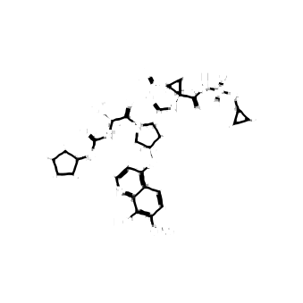 C=C[C@@H]1C[C@]1(NC(=O)[C@@H]1C[C@@H](Oc2ccnc3c(C)c(OC)ccc23)CN1C(=O)[C@@H](NC(=O)OC1CCCC1)C(C)(C)C)C(=O)NS(=O)(=O)OC1CC1